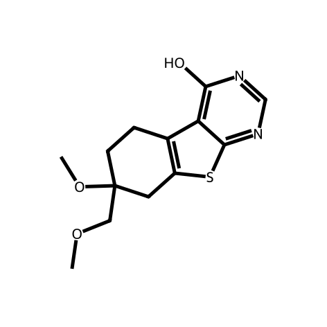 COCC1(OC)CCc2c(sc3ncnc(O)c23)C1